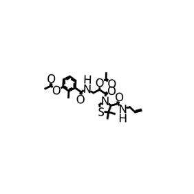 C=CCNC(=O)C1N(C(=O)C(CNC(=O)c2cccc(OC(C)=O)c2C)OC(C)=O)CSC1(C)C